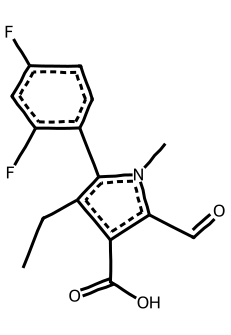 CCc1c(C(=O)O)c(C=O)n(C)c1-c1ccc(F)cc1F